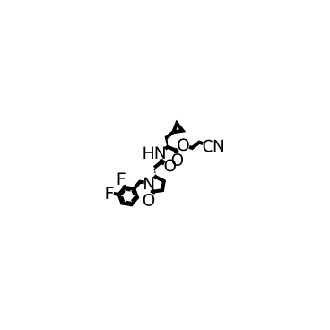 N#CCCOC(=O)[C@H](CC1CC1)NC(=O)C[C@@H]1CCC(=O)N1Cc1cccc(F)c1F